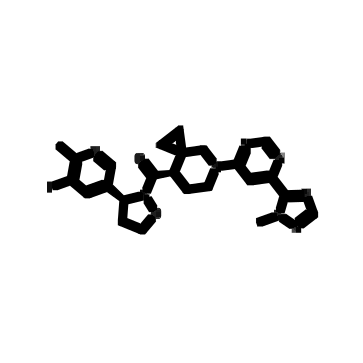 Cc1ncc([C@@H]2CCON2C(=O)[C@@H]2CCN(c3cc(-c4ncnn4C)ncn3)CC23CC3)cc1F